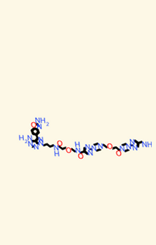 NCc1cnc(N2CCN(C(=O)CCOCCN3CCN(c4ncc(C(=O)NCCOCCC(=O)NCCCCn5nc(-c6ccc7oc(N)nc7c6)c6c(N)ncnc65)cn4)CC3)CC2)nc1